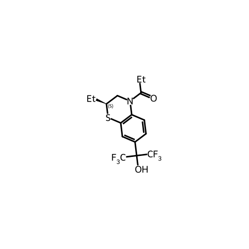 CCC(=O)N1C[C@H](CC)Sc2cc(C(O)(C(F)(F)F)C(F)(F)F)ccc21